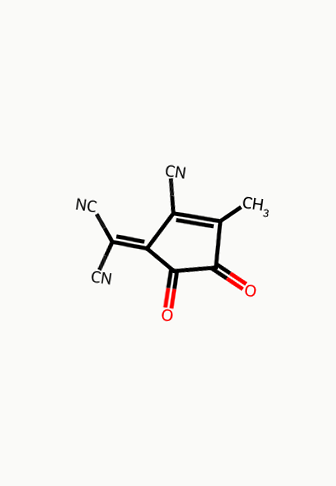 CC1=C(C#N)C(=C(C#N)C#N)C(=O)C1=O